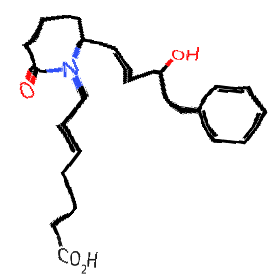 O=C(O)CCCC=CCN1C(=O)CCCC1C=CC(O)Cc1ccccc1